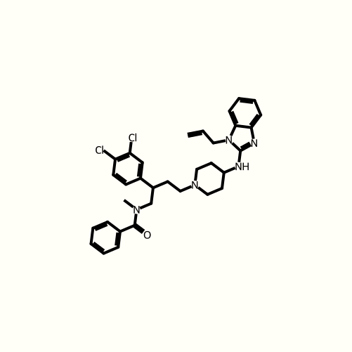 C=CCn1c(NC2CCN(CCC(CN(C)C(=O)c3ccccc3)c3ccc(Cl)c(Cl)c3)CC2)nc2ccccc21